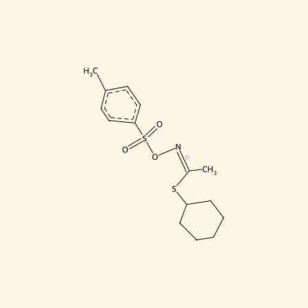 C/C(=N/OS(=O)(=O)c1ccc(C)cc1)SC1CCCCC1